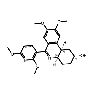 COc1ccc(C2=N[C@@H]3CC[C@@H](O)C[C@@H]3c3cc(OC)c(OC)cc32)c(OC)n1